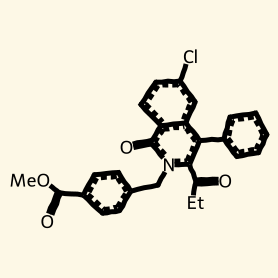 CCC(=O)c1c(-c2ccccc2)c2cc(Cl)ccc2c(=O)n1Cc1ccc(C(=O)OC)cc1